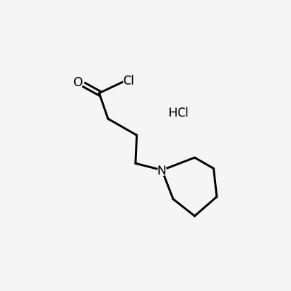 Cl.O=C(Cl)CCCN1CCCCC1